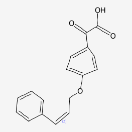 O=C(O)C(=O)c1ccc(OC/C=C\c2ccccc2)cc1